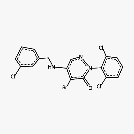 O=c1c(Br)c(NCc2cccc(Cl)c2)cnn1-c1c(Cl)cccc1Cl